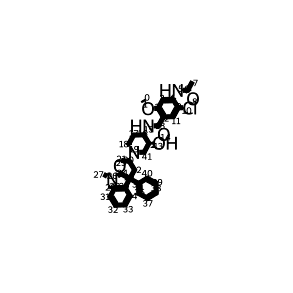 COc1cc(NC(C)=O)c(Cl)cc1C(=O)N[C@H]1CCN(C(C)CC(C(=O)N(C)C)(c2ccccc2)c2ccccc2)C[C@@H]1O